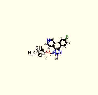 C[Si](C)(C)CCOCn1c(I)nc(-c2ccc(F)cc2)c1-c1ccncc1